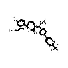 C[C@@H](c1ccc(-c2ccc(C(F)(F)F)nc2)cc1)N1CC[C@](CCCO)(c2ccc(F)cc2)OC1=O